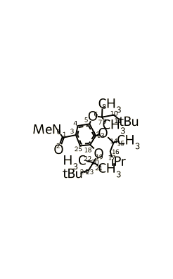 CNC(=O)c1cc(OC(C)(C)CC(C)(C)C)c(OC(C)CC(C)C)c(OC(C)(C)CC(C)(C)C)c1